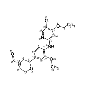 CCOc1nc(Nc2ccc(C3CN(C=O)CCO3)cc2OC)ncc1Cl